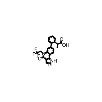 CC(C(=O)O)c1ccccc1-c1ccc2c3[nH]ncc3c(=O)n(CC(F)(F)F)c2c1